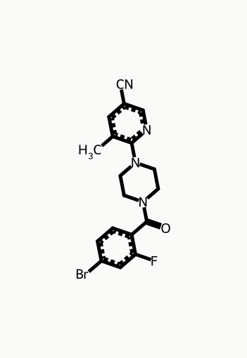 Cc1cc(C#N)cnc1N1CCN(C(=O)c2ccc(Br)cc2F)CC1